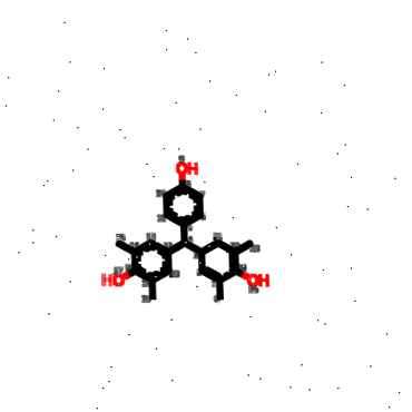 CC1=CC(C(c2ccc(O)cc2)c2cc(C)c(O)c(C)c2)CC(C)=C1O